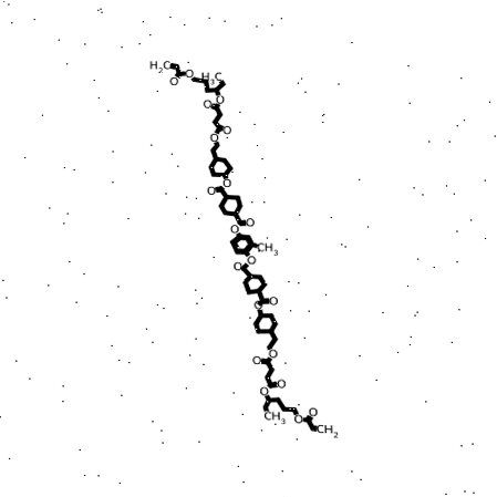 C=CC(=O)OCCCC(CC)OC(=O)CCC(=O)OCCC1CCC(OC(=O)C2CCC(C(=O)Oc3ccc(OC(=O)C4CCC(C(=O)OC5CCC(CCOC(=O)CCC(=O)OC(CC)CCCOC(=O)C=C)CC5)CC4)c(C)c3)CC2)CC1